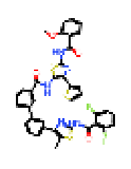 COc1ccccc1C(=O)Nc1nc(-c2cccs2)c(NC(=O)c2cccc(-c3cccc(-c4nc(NC(=O)c5c(F)cccc5F)sc4C)c3)c2)s1